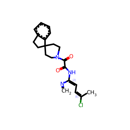 C=N/C(=C\C=C(/C)Cl)NC(=O)C(=O)N1CCC2(CCc3ccccc32)CC1